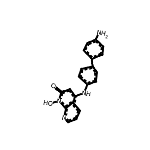 Nc1ccc(-c2ccc(Nc3cc(=O)n(O)c4ncccc34)cc2)cc1